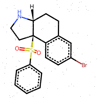 O=S(=O)(c1ccccc1)[C@@]12CCN[C@@H]1CCc1cc(Br)ccc12